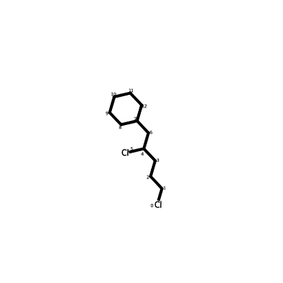 ClCCCC(Cl)CC1CCCCC1